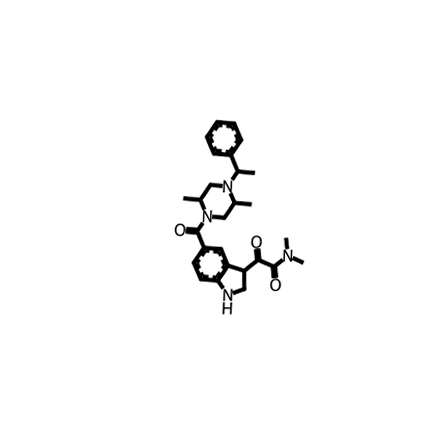 CC1CN(C(C)c2ccccc2)C(C)CN1C(=O)c1ccc2c(c1)C(C(=O)C(=O)N(C)C)CN2